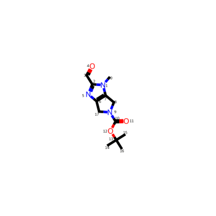 Cn1c(C=O)nc2c1CN(C(=O)OC(C)(C)C)C2